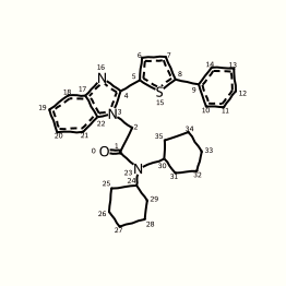 O=C(Cn1c(-c2ccc(-c3ccccc3)s2)nc2ccccc21)N(C1CCCCC1)C1CCCCC1